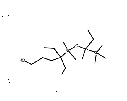 CCC(C)(O[Si](C)(C)C(CC)(CC)CCCO)[Si](C)(C)C